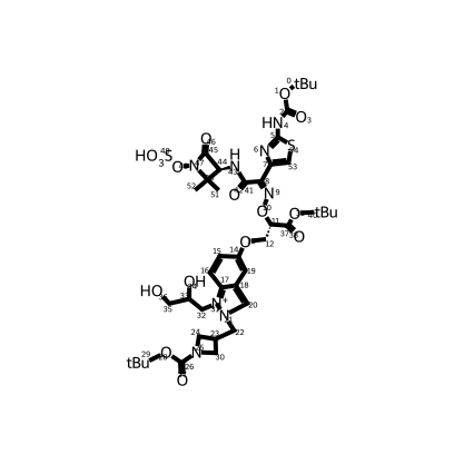 CC(C)(C)OC(=O)Nc1nc(/C(=N/O[C@@H](COc2ccc3c(c2)cn(CC2CN(C(=O)OC(C)(C)C)C2)[n+]3CC(O)CO)C(=O)OC(C)(C)C)C(=O)N[C@@H]2C(=O)N(OS(=O)(=O)O)C2(C)C)cs1